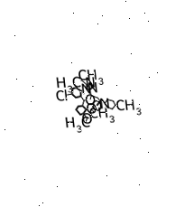 COc1cccc(C2OC(CC(=O)N3CCC(C)CC3)c3nnc(C(C)C)n3-c3ccc(Cl)cc32)c1OC